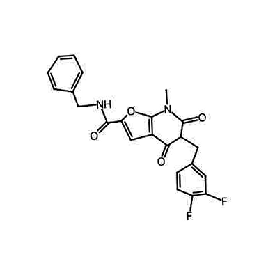 CN1C(=O)C(Cc2ccc(F)c(F)c2)C(=O)c2cc(C(=O)NCc3ccccc3)oc21